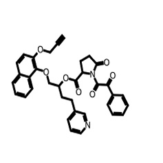 C#CCOc1ccc2ccccc2c1OCC(CCc1cccnc1)OC(=O)C1CCC(=O)N1C(=O)C(=O)c1ccccc1